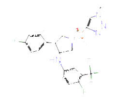 Cn1cc(S(=O)(=O)N2C[C@H](Nc3ccc(F)c(C(F)(F)F)c3)[C@@H](c3ccc(F)cc3)C2)nn1